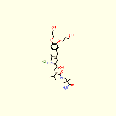 CC(C)[C@@H](Cc1ccc(OCCCO)c(OCCCO)c1)C[C@H](N)[C@@H](O)C[C@H](C(=O)NCC(C)(C)C(N)=O)C(C)C.Cl